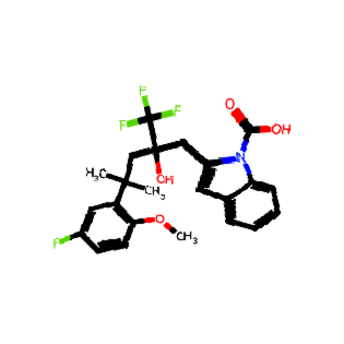 COc1ccc(F)cc1C(C)(C)CC(O)(Cc1cc2ccccc2n1C(=O)O)C(F)(F)F